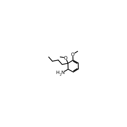 CCCCC1(OC)C(OC)=CC=CC1N